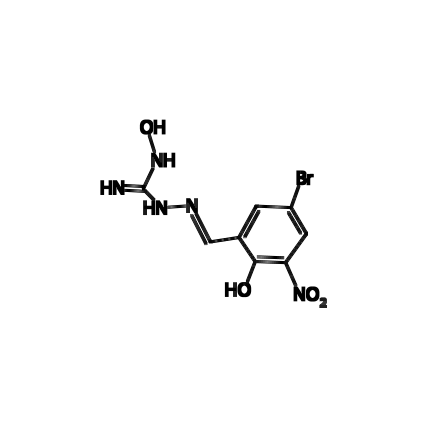 N=C(NO)NN=Cc1cc(Br)cc([N+](=O)[O-])c1O